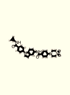 O=C(Nc1ccc2c(ccn2-c2ccc(C(=O)NC3CC3)cc2)c1)c1ccc(N2CCS(=O)(=O)CC2)cc1